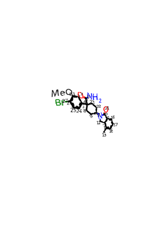 COc1cc(C2(C(N)=O)CCC(N3Cc4c(C)cccc4C3=O)CC2)ccc1Br